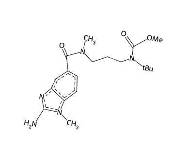 COC(=O)N(CCCN(C)C(=O)c1ccc2c(c1)nc(N)n2C)C(C)(C)C